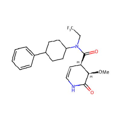 CO[C@H]1C(=O)NC=C[C@H]1C(=O)N(CC(F)(F)F)C1CCC(c2ccccc2)CC1